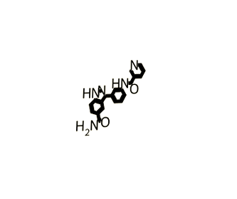 NC(=O)c1ccc2[nH]nc(-c3cccc(NC(=O)c4cccnc4)c3)c2c1